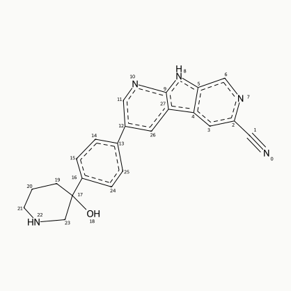 N#Cc1cc2c(cn1)[nH]c1ncc(-c3ccc(C4(O)CCCNC4)cc3)cc12